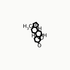 C[C@@]12CCC[C@H]1[C@@H]1C[C@H]3OC[C@@]4(CCC(=O)C=C34)[C@H]1CC2